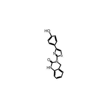 O=C1Nc2ccccc2CN1c1nc(-c2ccc(O)cc2)cs1